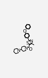 Cc1nc(-c2ccc(Oc3ccccc3)cc2)sc1C(=O)N1CCC(N2CCCCC2)CC1